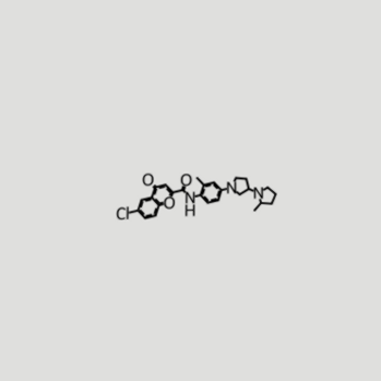 Cc1cc(N2CCC(N3CCCC3C)C2)ccc1NC(=O)c1cc(=O)c2cc(Cl)ccc2o1